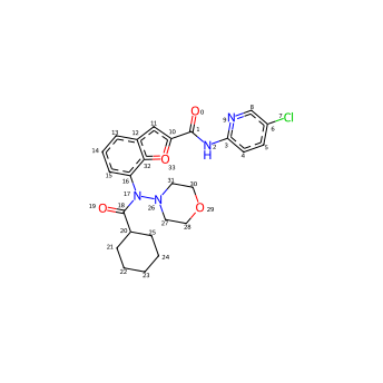 O=C(Nc1ccc(Cl)cn1)c1cc2cccc(N(C(=O)C3CCCCC3)N3CCOCC3)c2o1